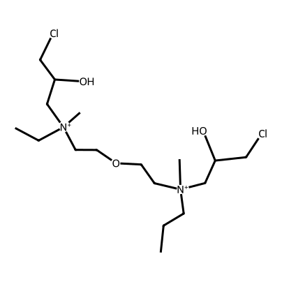 CCC[N+](C)(CCOCC[N+](C)(CC)CC(O)CCl)CC(O)CCl